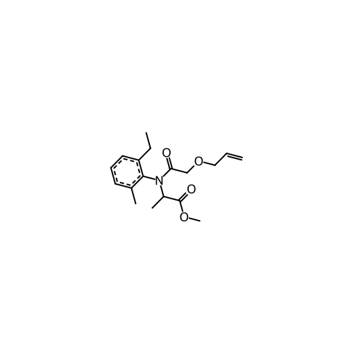 C=CCOCC(=O)N(c1c(C)cccc1CC)C(C)C(=O)OC